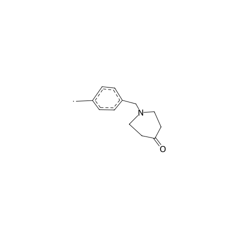 [CH2]c1ccc(CN2CCC(=O)CC2)cc1